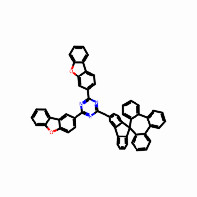 c1ccc2c(c1)-c1ccccc1C1(c3ccccc3-2)c2ccccc2-c2cc(-c3nc(-c4ccc5c(c4)oc4ccccc45)nc(-c4ccc5oc6ccccc6c5c4)n3)ccc21